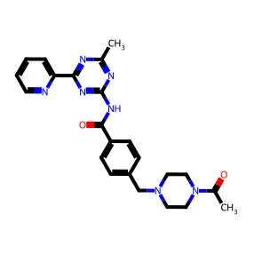 CC(=O)N1CCN(Cc2ccc(C(=O)Nc3nc(C)nc(-c4ccccn4)n3)cc2)CC1